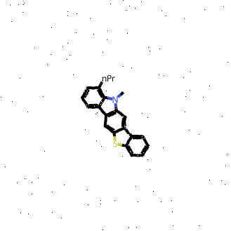 CCCc1cccc2c3cc4sc5ccccc5c4cc3n(C)c12